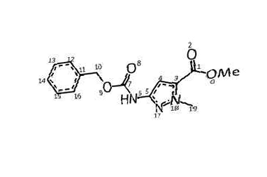 COC(=O)c1cc(NC(=O)OCc2ccccc2)nn1C